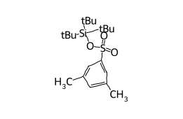 Cc1cc(C)cc(S(=O)(=O)O[Si](C(C)(C)C)(C(C)(C)C)C(C)(C)C)c1